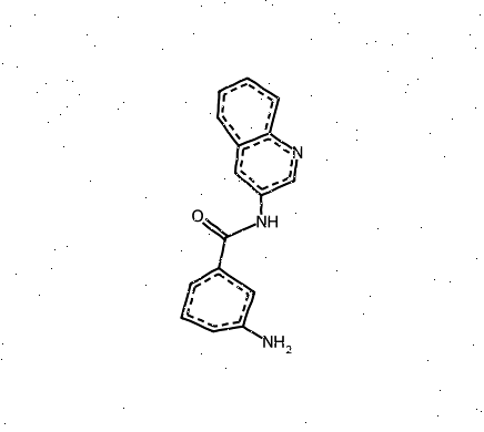 Nc1cccc(C(=O)Nc2cnc3ccccc3c2)c1